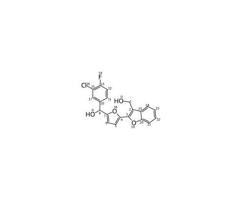 OCc1c(-c2ccc(C(O)c3ccc(F)c(Cl)c3)o2)oc2ccccc12